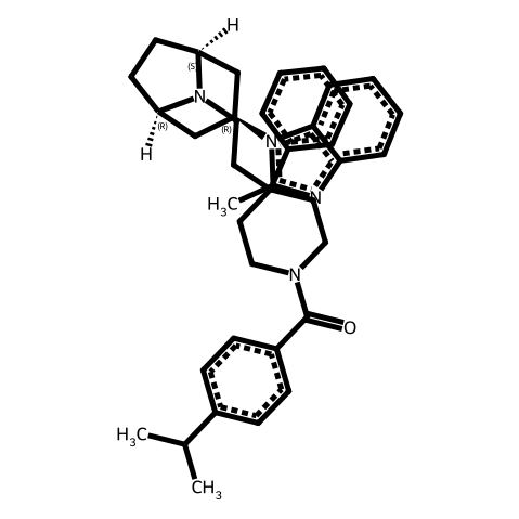 Cc1nc2ccccc2n1[C@H]1C[C@H]2CC[C@@H](C1)N2CCC1(c2ccccc2)CCN(C(=O)c2ccc(C(C)C)cc2)CC1